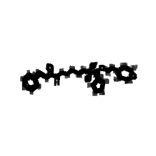 O=C(/C=C/c1ccncc1)NCCCCCS(=O)(=O)N(OCCN1CCOCC1)C1CCCC1